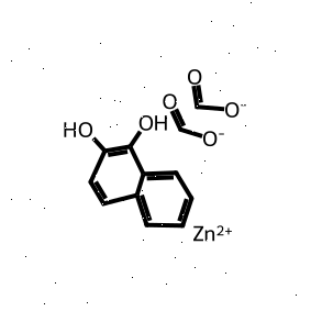 O=C[O-].O=C[O-].Oc1ccc2ccccc2c1O.[Zn+2]